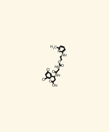 Cc1cccc(NCCOC(=O)NCC(=O)NC(CC(=O)O)c2cc(Cl)cc(Cl)c2)n1